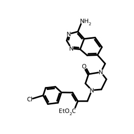 CCOC(=O)C(=Cc1ccc(Cl)cc1)CN1CCN(Cc2ccc3c(N)ncnc3c2)C(=O)C1